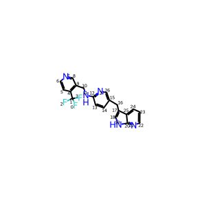 FC(F)(F)c1ccncc1CNc1ccc(Cc2c[nH]c3ncccc23)cn1